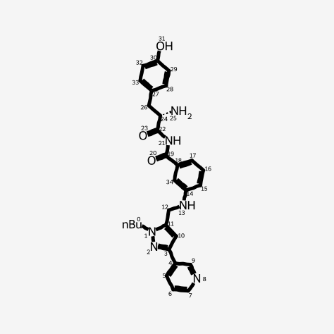 CCCCn1nc(-c2cccnc2)cc1CNc1cccc(C(=O)NC(=O)[C@@H](N)Cc2ccc(O)cc2)c1